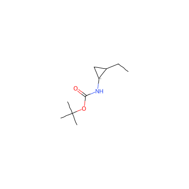 CCC1C[C]1NC(=O)OC(C)(C)C